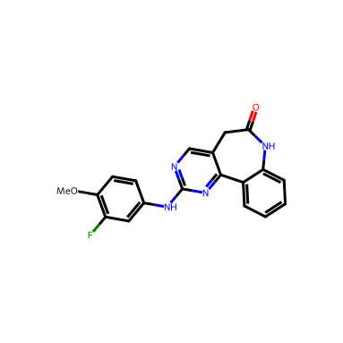 COc1ccc(Nc2ncc3c(n2)-c2ccccc2NC(=O)C3)cc1F